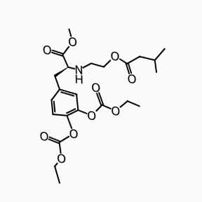 CCOC(=O)Oc1ccc(C[C@H](NCCOC(=O)CC(C)C)C(=O)OC)cc1OC(=O)OCC